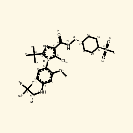 COc1cc(N[C@H](C)C(F)(F)F)ccc1-n1c(C(C)(C)C)nc(C(=O)NC[C@H]2CC[C@H](S(C)(=O)=O)CC2)c1Cl